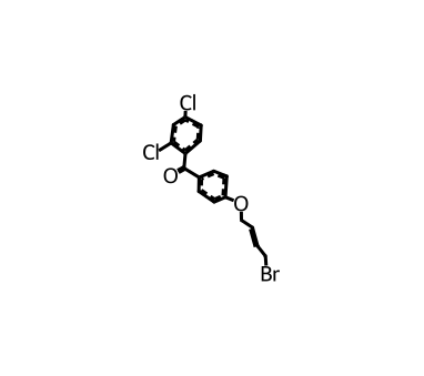 O=C(c1ccc(OCC=CCBr)cc1)c1ccc(Cl)cc1Cl